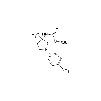 CC1(NC(=O)OC(C)(C)C)CCN(c2ccc(N)nc2)C1